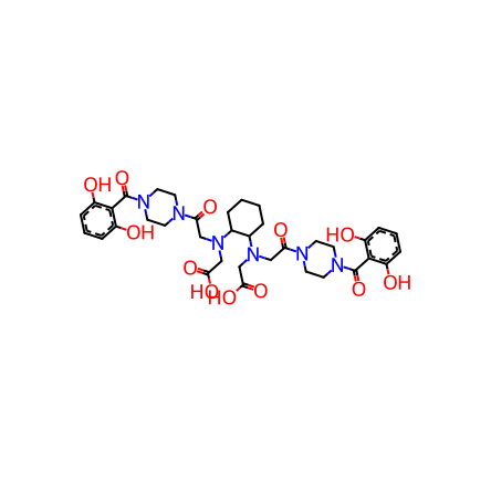 O=C(O)CN(CC(=O)N1CCN(C(=O)c2c(O)cccc2O)CC1)C1CCCCC1N(CC(=O)O)CC(=O)N1CCN(C(=O)c2c(O)cccc2O)CC1